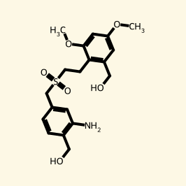 COc1cc(CO)c(CCS(=O)(=O)Cc2ccc(CO)c(N)c2)c(OC)c1